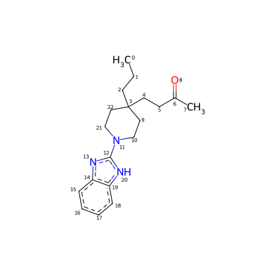 CCCC1(CCC(C)=O)CCN(c2nc3ccccc3[nH]2)CC1